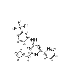 FC(F)(F)c1cc(Nc2nc(NC3COC3)nc(-c3ccccn3)n2)ccn1